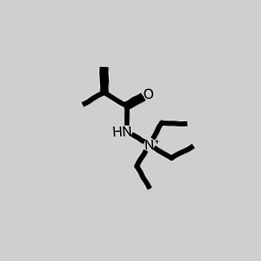 C=C(C)C(=O)N[N+](CC)(CC)CC